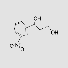 O=[N+]([O-])c1cccc(C(O)CCO)c1